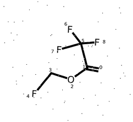 C=C(OCF)C(F)(F)F